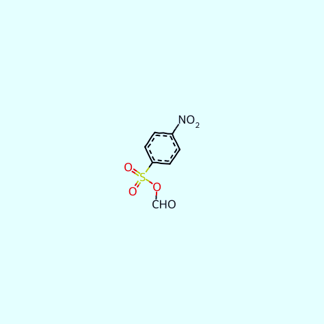 O=COS(=O)(=O)c1ccc([N+](=O)[O-])cc1